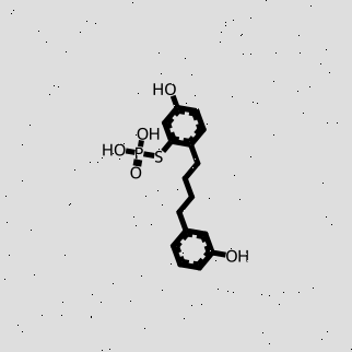 O=P(O)(O)Sc1cc(O)ccc1CCCCc1cccc(O)c1